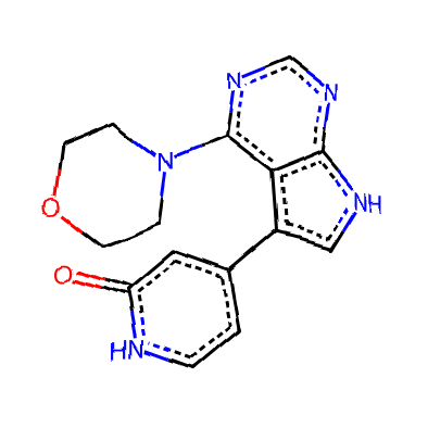 O=c1cc(-c2c[nH]c3ncnc(N4CCOCC4)c23)cc[nH]1